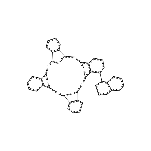 c1ccc2c(c1)-c1nc-2nc2[nH]c(nc3nc(nc4[nH]c(n1)c1ccccc41)-c1ccccc1-3)c1c(-c3cccc4ccccc34)cccc21